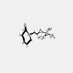 CC(C)(C)[Si](C)(C)OCCn1ccccc1=O